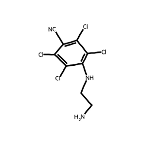 N#Cc1c(Cl)c(Cl)c(NCCN)c(Cl)c1Cl